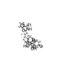 CC[C@@H](NC(=O)C[C@@H](C)[C@H]1CC[C@H]2[C@@H]3[C@H](O)[C@H](O)[C@@H]4CC(=O)CC[C@]4(C)[C@H]3CC[C@]12C)c1cccs1